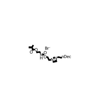 C=C(C)C(=O)OCCNC(=O)OCCn1cc[n+](CCCCCCCCCCCC)c1.[Br-]